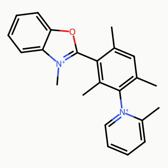 Cc1cc(C)c(-[n+]2ccccc2C)c(C)c1-c1oc2ccccc2[n+]1C